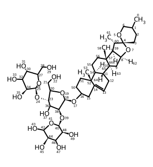 CC1CC[C@@]2(OC1)O[C@H]1C[C@H]3[C@@H]4CC=C5CC(O[C@@H]6OC(CO)[C@@H](O[C@@H]7OC(CO)[C@@H](O)C(O)[C@@H]7O)C(O)[C@@H]6O[C@@H]6OC(O)[C@H](O)C(O)[C@@H]6O)CC[C@]5(C)[C@H]4CC[C@]3(C)[C@H]1[C@@H]2C